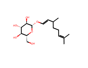 CC(C)=CCCC(C)/C=C/O[C@@H]1O[C@H](CO)[C@@H](O)[C@H](O)[C@H]1O